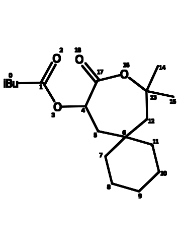 CCC(C)C(=O)OC1CC2(CCCCC2)CC(C)(C)OC1=O